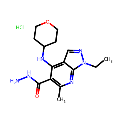 CCn1ncc2c(NC3CCOCC3)c(C(=O)NN)c(C)nc21.Cl